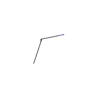 C=C/C=C/CCCCCCCCCCCCCCCCCCCCC1OC1CCCCCCCCCCCCCCCCCCCCCCCCC